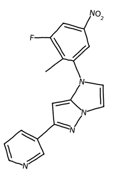 Cc1c(F)cc([N+](=O)[O-])cc1-n1ccn2nc(-c3cccnc3)cc12